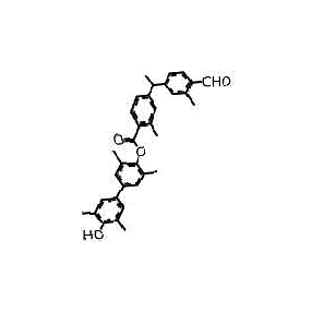 Cc1cc(C(C)c2ccc(C(=O)Oc3c(C)cc(-c4cc(C)c(O)c(C)c4)cc3C)c(C)c2)ccc1C=O